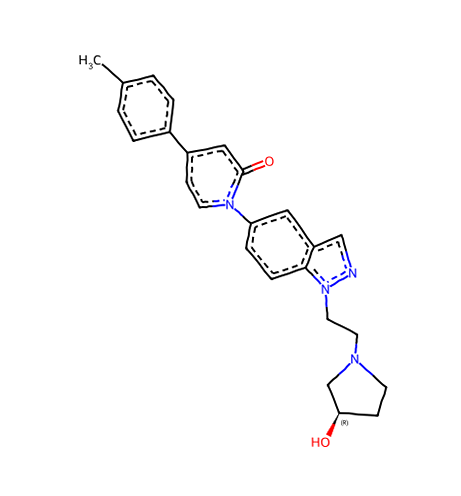 Cc1ccc(-c2ccn(-c3ccc4c(cnn4CCN4CC[C@@H](O)C4)c3)c(=O)c2)cc1